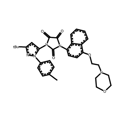 Cc1ccc(-n2nc(C(C)(C)C)cc2N2C(=O)C(=O)N(c3ccc(OCCN4CCOCC4)c4ccccc34)C2=O)cc1